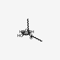 CCCCCCCCCC(=O)OCC(CO)(COCC(CO)(CO)CO)COC(=O)CCCCCCCCC